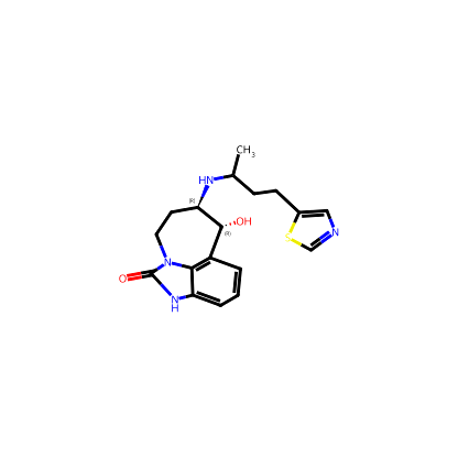 CC(CCc1cncs1)N[C@@H]1CCn2c(=O)[nH]c3cccc(c32)[C@H]1O